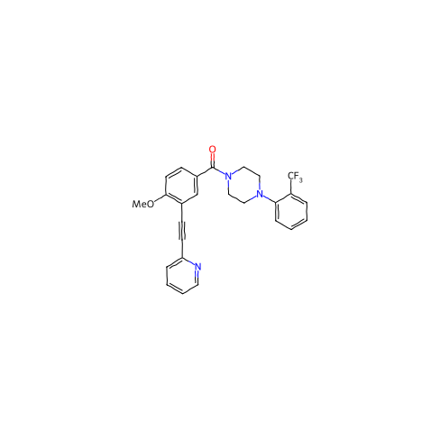 COc1ccc(C(=O)N2CCN(c3ccccc3C(F)(F)F)CC2)cc1C#Cc1ccccn1